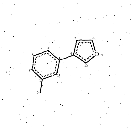 Cc1cccc(-c2ccoc2)c1